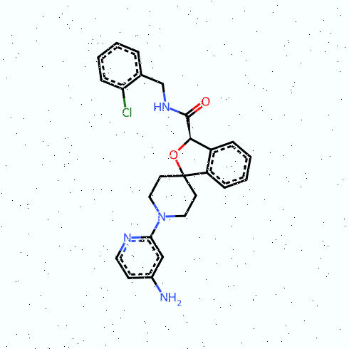 Nc1ccnc(N2CCC3(CC2)O[C@@H](C(=O)NCc2ccccc2Cl)c2ccccc23)c1